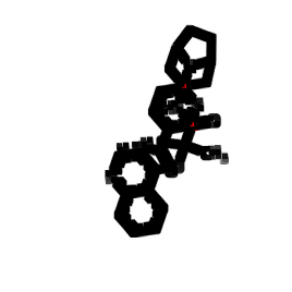 CC(C)(Oc1ccnc2ccccc12)C(=O)NC1CC2CCC(C1)N2c1ccc(C(N)=O)cn1